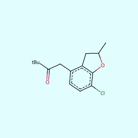 CC1Cc2c(CC(=O)C(C)(C)C)ccc(Cl)c2O1